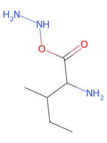 CCC(C)C(N)C(=O)ONN